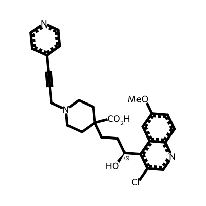 COc1ccc2ncc(Cl)c([C@@H](O)CCC3(C(=O)O)CCN(CC#Cc4ccncc4)CC3)c2c1